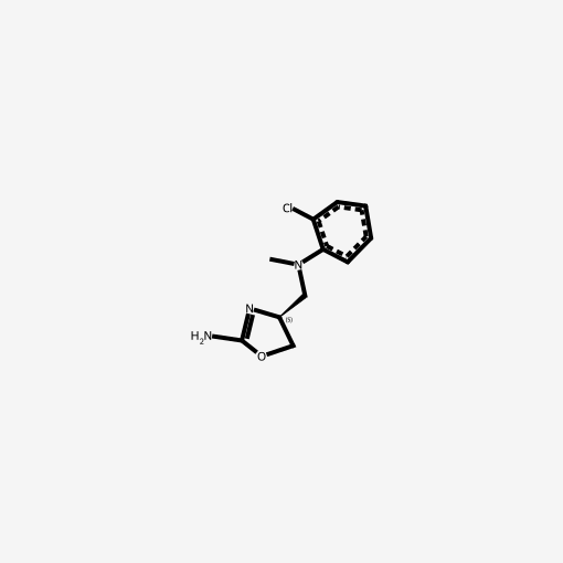 CN(C[C@H]1COC(N)=N1)c1ccccc1Cl